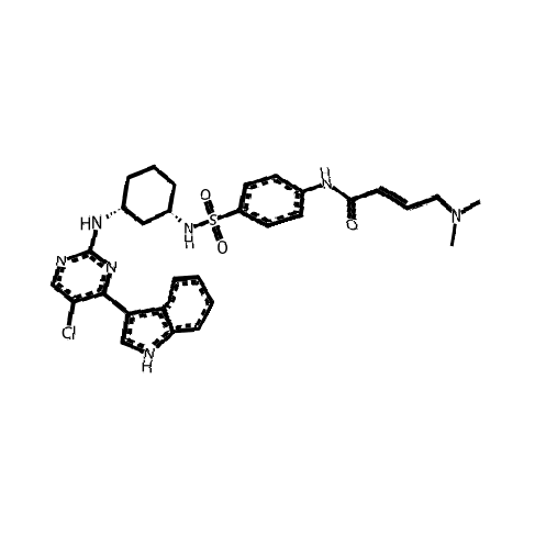 CN(C)CC=CC(=O)Nc1ccc(S(=O)(=O)N[C@H]2CCC[C@@H](Nc3ncc(Cl)c(-c4c[nH]c5ccccc45)n3)C2)cc1